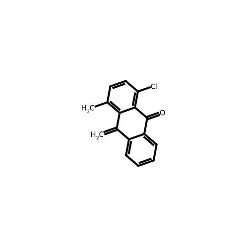 C=C1c2ccccc2C(=O)c2c(Cl)ccc(C)c21